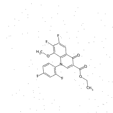 CCOC(=O)c1cn(-c2ccc(F)cc2F)c2c(OC)c(F)c(F)cc2c1=O